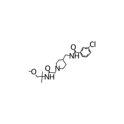 COCC(C)(C)NC(=O)CN1CCC(CNC(=O)c2cccc(Cl)c2)CC1